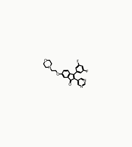 O=C1C(c2cncnc2)=C(c2cc(F)cc(F)c2)c2ccc(OCCN3CCOCC3)cc21